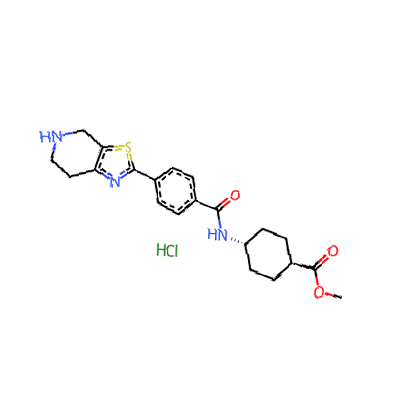 COC(=O)[C@H]1CC[C@H](NC(=O)c2ccc(-c3nc4c(s3)CNCC4)cc2)CC1.Cl